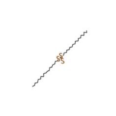 CCCCCCCCCCCCCCCCCCSC(=S)SCCCCCCCCCCCCCCCCCC